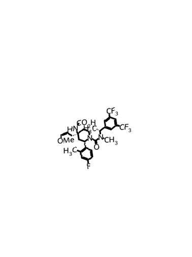 CO/C=C\C[C@]1(NC(=O)O)CCN(C(=O)N(C)[C@H](C)c2cc(C(F)(F)F)cc(C(F)(F)F)c2)[C@@H](c2ccc(F)cc2C)C1